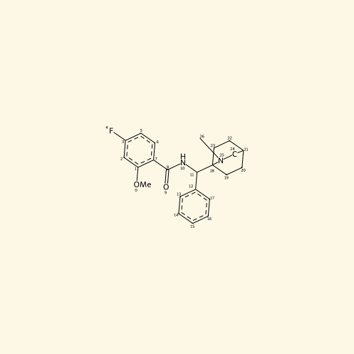 COc1cc(F)ccc1C(=O)NC(c1ccccc1)C12CCC(CC1)CN2C